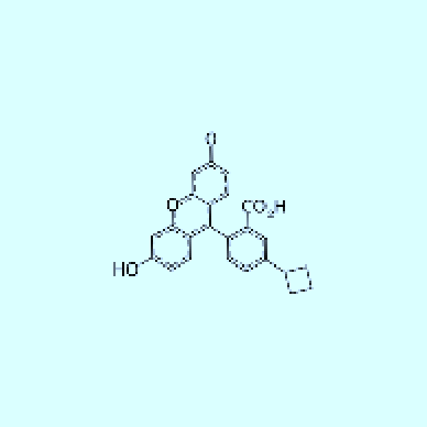 O=C(O)c1cc(C2CCC2)ccc1-c1c2ccc(=O)cc-2oc2cc(O)ccc12